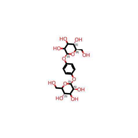 OCC1O[C@@H](Oc2ccc(O[C@@H]3O[C@H](CO)[C@@H](O)C(O)C3O)cc2)[C@@H](O)C(O)[C@@H]1O